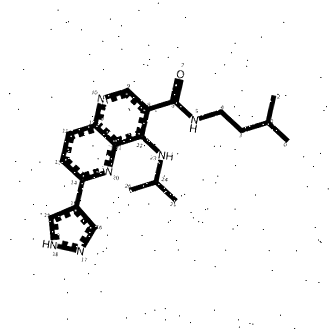 CC(C)CCNC(=O)c1cnc2ccc(-c3cn[nH]c3)nc2c1NC(C)C